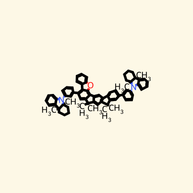 CC1(C)c2cc(-c3cccc(N4c5ccccc5C5(C)CCCCC45C)c3)ccc2-c2cc3c(cc21)C(C)(C)c1cc(-c2cccc(N4c5ccccc5C5(C)CCCCC45C)c2)c2c(oc4ccccc42)c1-3